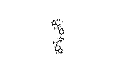 Cc1cnoc1C(=O)Nc1cc(-c2nnc(Nc3cc4cn[nH]c4cn3)s2)ccn1